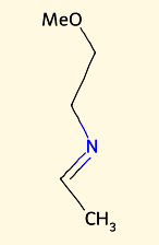 C/C=N/CCOC